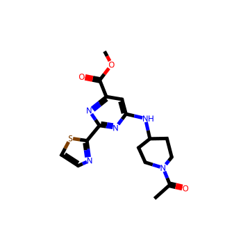 COC(=O)c1cc(NC2CCN(C(C)=O)CC2)nc(-c2nccs2)n1